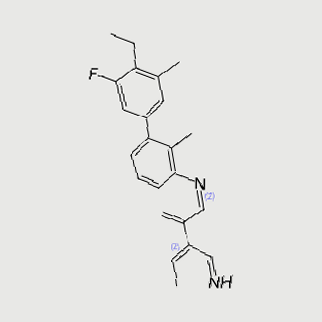 C=C(/C=N\c1cccc(-c2cc(C)c(CC)c(F)c2)c1C)/C(C=N)=C/C